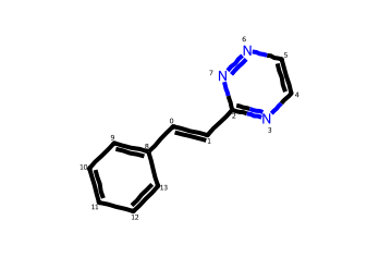 C(=Cc1nccnn1)c1ccccc1